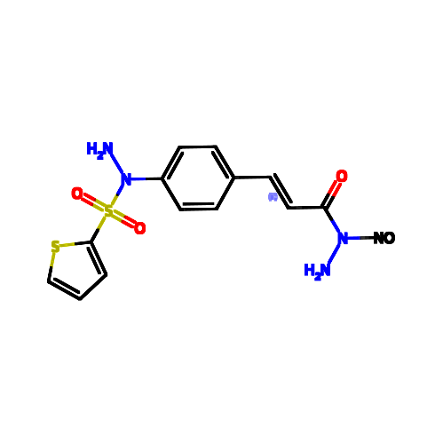 NN(N=O)C(=O)/C=C/c1ccc(N(N)S(=O)(=O)c2cccs2)cc1